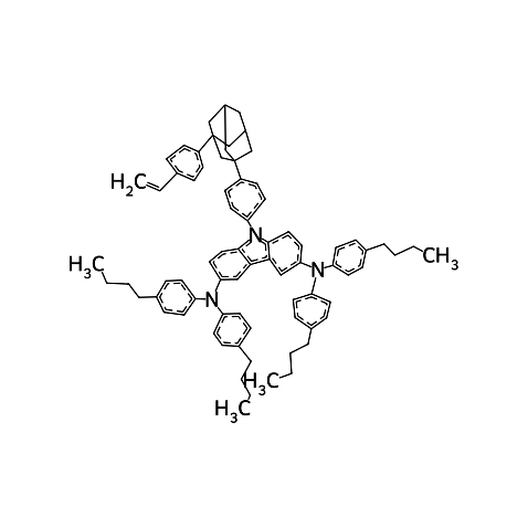 C=Cc1ccc(C23CC4CC(C2)CC(c2ccc(-n5c6ccc(N(c7ccc(CCCC)cc7)c7ccc(CCCC)cc7)cc6c6cc(N(c7ccc(CCCC)cc7)c7ccc(CCCC)cc7)ccc65)cc2)(C4)C3)cc1